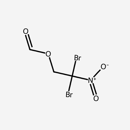 O=COCC(Br)(Br)[N+](=O)[O-]